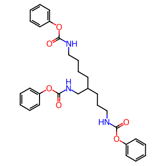 O=C(NCCCCC(CCCNC(=O)Oc1ccccc1)CNC(=O)Oc1ccccc1)Oc1ccccc1